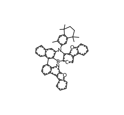 Cc1cc2c(cc1N1c3cc4ccccc4c4c3B(c3ccc5c(oc6ccccc65)c31)n1c3oc5ccccc5c3c3cccc-4c31)C(C)(C)CCC2(C)C